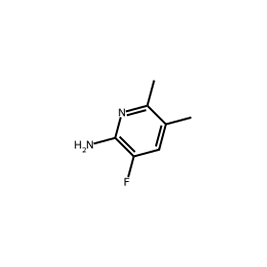 Cc1cc(F)c(N)nc1C